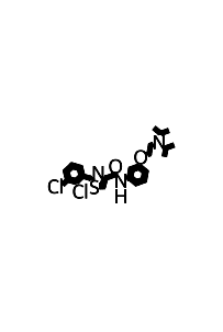 CC(C)N(CCOc1cccc(NC(=O)c2csc(-c3cccc(Cl)c3Cl)n2)c1)C(C)C